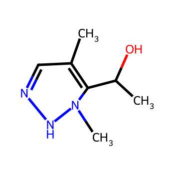 CC1=C(C(C)O)N(C)NN=C1